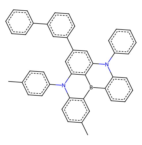 Cc1ccc(N2c3ccc(C)cc3B3c4ccccc4N(c4ccccc4)c4cc(-c5cccc(-c6ccccc6)c5)cc2c43)cc1